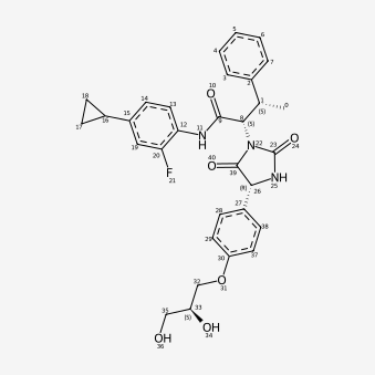 C[C@@H](c1ccccc1)[C@@H](C(=O)Nc1ccc(C2CC2)cc1F)N1C(=O)N[C@H](c2ccc(OC[C@@H](O)CO)cc2)C1=O